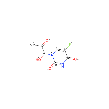 CCCC(=O)C(O)n1cc(F)c(=O)[nH]c1=O